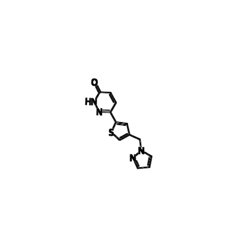 O=c1ccc(-c2cc(Cn3cccn3)cs2)n[nH]1